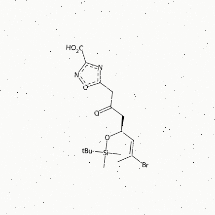 C/C(Br)=C\[C@H](CC(=O)Cc1nc(C(=O)O)no1)O[Si](C)(C)C(C)(C)C